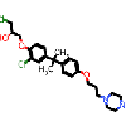 CC(C)(c1ccc(OCCCN2CCNCC2)cc1)c1ccc(OC[C@@H](O)CCl)c(Cl)c1